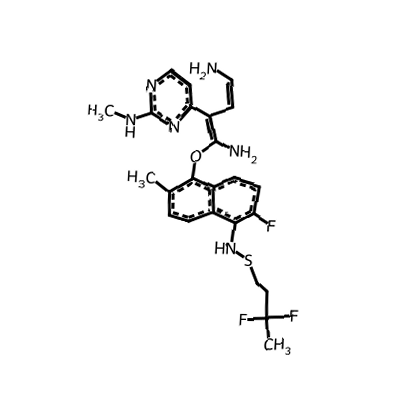 CNc1nccc(C(/C=C\N)=C(/N)Oc2c(C)ccc3c(NSCCC(C)(F)F)c(F)ccc23)n1